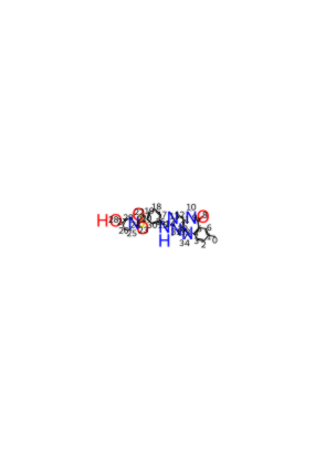 Cc1ccc2c(c1)C(=O)N(C)c1cnc(Nc3cccc(S(=O)(=O)N4CC[C@H](O)C4)c3)nc1N2C